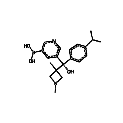 CC(C)c1ccc([C@](O)(c2cncc(B(O)O)c2)C2(C)CN(C)C2)cc1